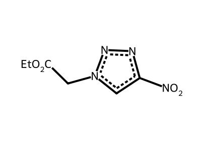 CCOC(=O)Cn1cc([N+](=O)[O-])nn1